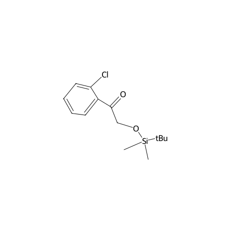 CC(C)(C)[Si](C)(C)OCC(=O)c1ccccc1Cl